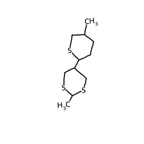 CC1CCC(C2CSC(C)SC2)SC1